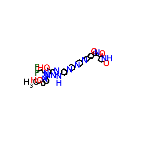 CC[C@@]1(O)CCc2ccc(N3c4nc(Nc5ccc(N6CCC(N7CCC(N8Cc9cc%10onc(C%11CCC(=O)NC%11=O)c%10cc9C8)CC7)CC6)cc5)ncc4C(O)N3CC=C(F)F)nc21